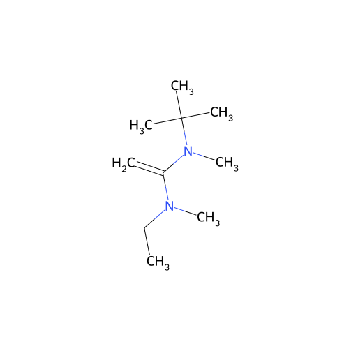 C=C(N(C)CC)N(C)C(C)(C)C